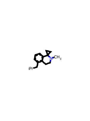 CC(C)Cc1cccc2c1CCN(C)C21CC1